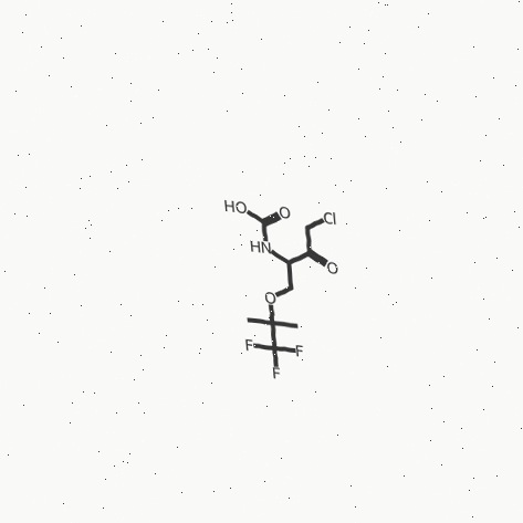 CC(C)(OCC(NC(=O)O)C(=O)CCl)C(F)(F)F